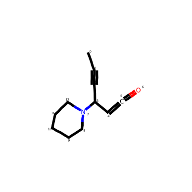 [CH2]C#CC(C=C=O)N1CCCCC1